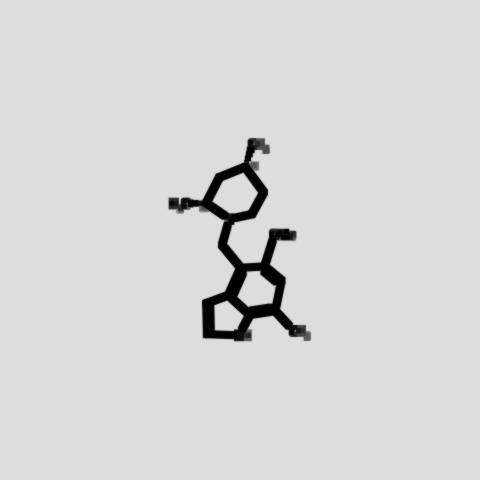 COc1cc(C)c2[nH]ccc2c1CN1CC[C@@H](C)C[C@H]1C